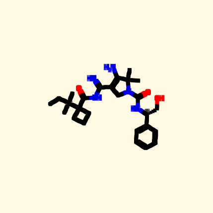 CC[Si](C)(C)C1(C(=O)NC(=N)C2=C(N)C(C)(C)N(C(=O)N[C@H](CO)c3ccccc3)C2)CCC1